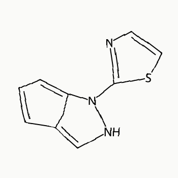 c1cc2c[nH]n(-c3nccs3)c-2c1